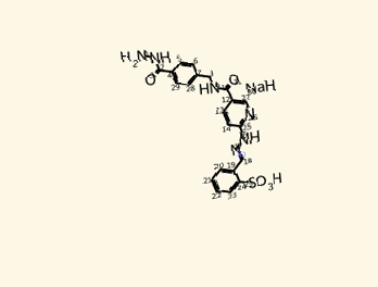 NNC(=O)c1ccc(CNC(=O)c2ccc(N/N=C/c3ccccc3S(=O)(=O)O)nc2)cc1.[NaH]